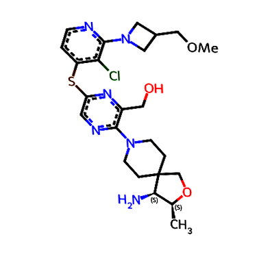 COCC1CN(c2nccc(Sc3cnc(N4CCC5(CC4)CO[C@@H](C)[C@H]5N)c(CO)n3)c2Cl)C1